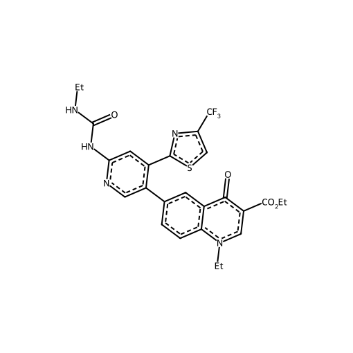 CCNC(=O)Nc1cc(-c2nc(C(F)(F)F)cs2)c(-c2ccc3c(c2)c(=O)c(C(=O)OCC)cn3CC)cn1